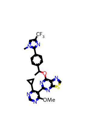 COc1ncnc(C2CC2)c1-c1nc(OC(C)c2ccc(-c3nc(C(F)(F)F)cn3C)cc2)c2ncsc2n1